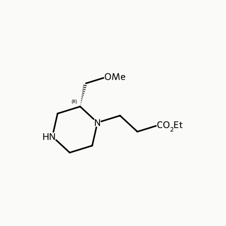 CCOC(=O)CCN1CCNC[C@@H]1COC